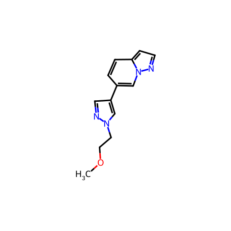 COCCn1cc(-c2ccc3ccnn3c2)cn1